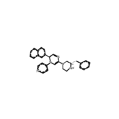 C1=NC(N2CCN[C@@H](Cc3ccccc3)C2)=CN(c2ccncc2)C1c1ccc2ccccc2c1